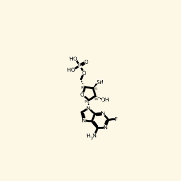 Nc1nc(F)nc2c1ncn2[C@@H]1O[C@H](COP(=O)(O)O)[C@@H](S)[C@@H]1O